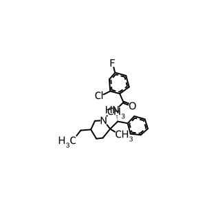 CCC1CCC(C)([C@H](NC(=O)c2ccc(F)cc2Cl)c2ccccc2)N(C)C1